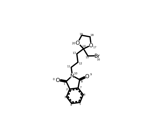 O=C1c2ccccc2C(=O)N1CCCC1(CBr)OCCO1